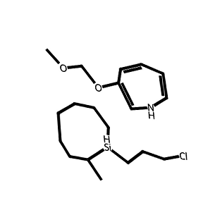 CC1CCCCCC[SiH]1CCCCl.COCOC1=CNC=CC=C1